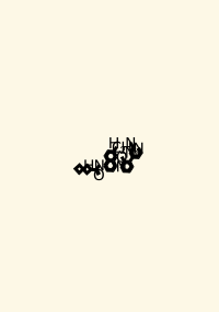 Cc1ccc2c(NC(=O)C3CC4(CCC4)C3)cccc2c1Oc1ncccc1-c1ccnc(N)n1